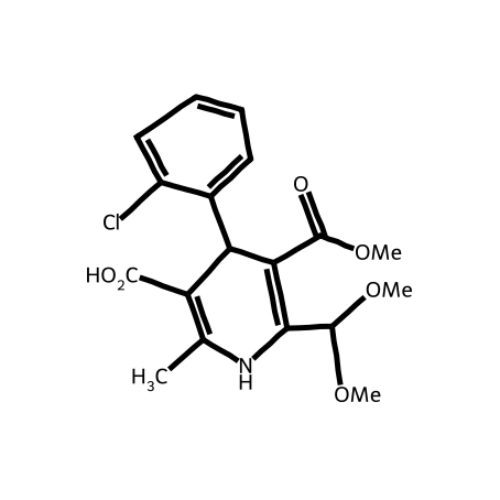 COC(=O)C1=C(C(OC)OC)NC(C)=C(C(=O)O)C1c1ccccc1Cl